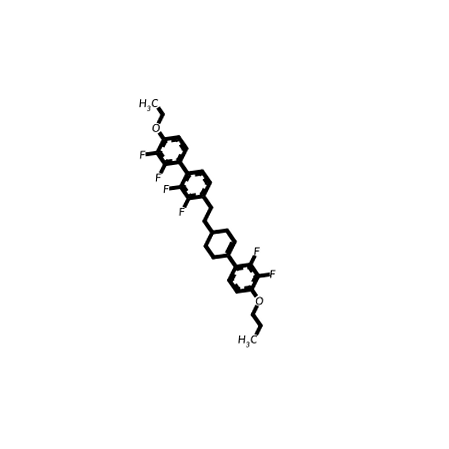 CCCOc1ccc(C2=CCC(CCc3ccc(-c4ccc(OCC)c(F)c4F)c(F)c3F)CC2)c(F)c1F